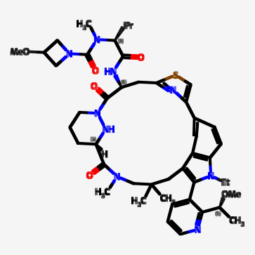 CCn1c(-c2cccnc2[C@H](C)OC)c2c3cc(ccc31)-c1csc(n1)C[C@H](NC(=O)[C@H](C(C)C)N(C)C(=O)N1CC(OC)C1)C(=O)N1CCC[C@H](N1)C(=O)N(C)CC(C)(C)C2